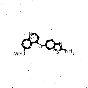 COc1ccc2nccc(Oc3ccc4nc(N)sc4c3)c2c1